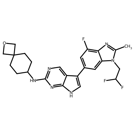 Cc1nc2c(F)cc(-c3c[nH]c4nc(NC5CCC6(CC5)COC6)ncc34)cc2n1CC(F)F